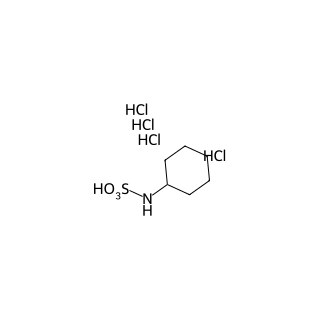 Cl.Cl.Cl.Cl.O=S(=O)(O)NC1CCCCC1